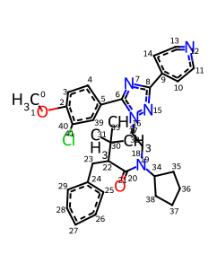 COc1ccc(-c2nc(-c3ccncc3)nn2CCN(C(=O)C(Cc2ccccc2)C(C)(C)C)C2CCCC2)cc1Cl